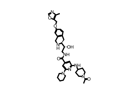 CC(=O)N1CCC(Nc2cc(C(=O)NC[C@@H](O)[C@@H]3Cc4ccc(OCc5ocnc5C)cc4CN3)cc(N3CCCCC3)n2)CC1